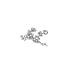 CCCNc1nc(-c2noc(-c3ccccn3)n2)nc2c1ncn2[C@@H]1O[C@H](C(=O)NC)[C@H]2OC(C)(C)O[C@H]21